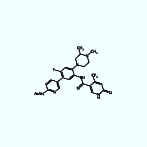 CC(=O)Nc1ccc(-c2cc(NC(=O)c3c[nH]c(=O)cc3C(F)(F)F)c(N3CCN(C)C(C)C3)cc2F)cn1